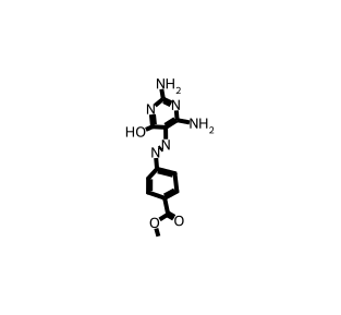 COC(=O)c1ccc(N=Nc2c(N)nc(N)nc2O)cc1